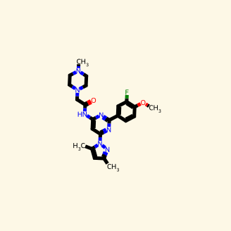 COc1ccc(-c2nc(NC(=O)CN3CCN(C)CC3)cc(-n3nc(C)cc3C)n2)cc1F